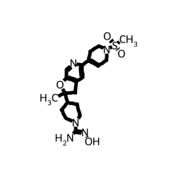 CC1(C2CCN(C(N)=NO)CC2)Cc2cc(C3=CCN(S(C)(=O)=O)CC3)ncc2O1